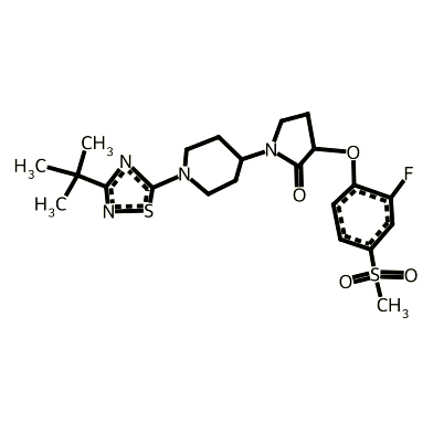 CC(C)(C)c1nsc(N2CCC(N3CCC(Oc4ccc(S(C)(=O)=O)cc4F)C3=O)CC2)n1